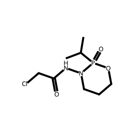 CC(C)P1(=O)OCCCN1NC(=O)CCl